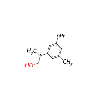 CCCc1cc(C)cc([C](C)CO)c1